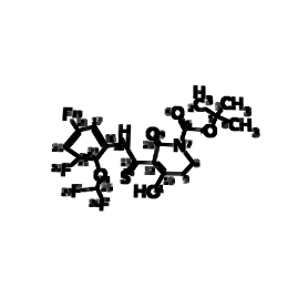 CC(C)(C)OC(=O)N1CCC(O)=C(C(=S)Nc2cc(F)cc(F)c2OC(F)F)C1=O